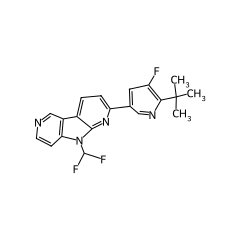 CC(C)(C)c1ncc(-c2ccc3c4cnccc4n(C(F)F)c3n2)cc1F